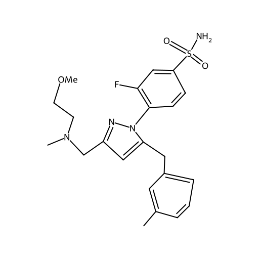 COCCN(C)Cc1cc(Cc2cccc(C)c2)n(-c2ccc(S(N)(=O)=O)cc2F)n1